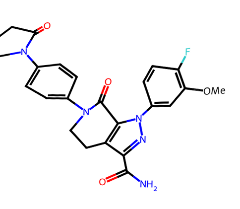 COc1cc(-n2nc(C(N)=O)c3c2C(=O)N(c2ccc(N4CCCC4=O)cc2)CC3)ccc1F